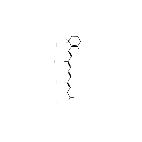 CC1=C(/C=C/C(C)=C/C=C/C(C)=C/CC(Br)C(=O)O)C(C)(C)CCC1